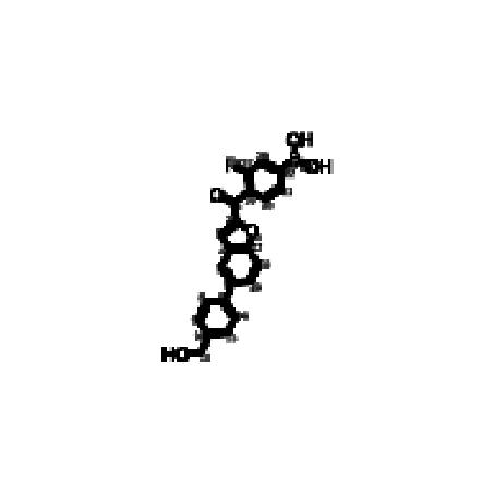 O=C(c1cc2cc(-c3ccc(CO)cc3)ccc2o1)c1ccc(B(O)O)cc1F